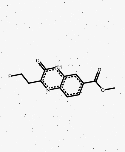 COC(=O)c1ccc2nc(CCF)c(=O)[nH]c2c1